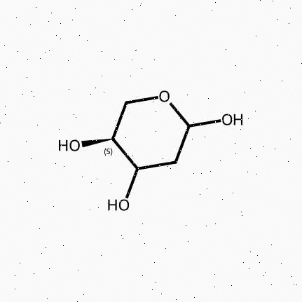 OC1CC(O)[C@@H](O)CO1